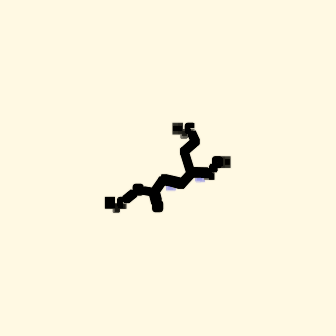 CCCC(/C=C/C(=O)OC)=N\O